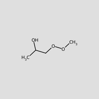 COOCC(C)O